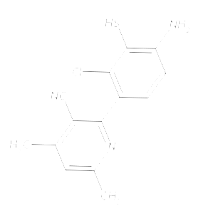 Cc1cc(C)c(C#N)c(-c2ccc(N)c(S)c2Cl)n1